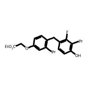 CCOC(=O)COc1ccc(Cc2ccc(O)c(C(C)C)c2F)c(C(C)C)c1